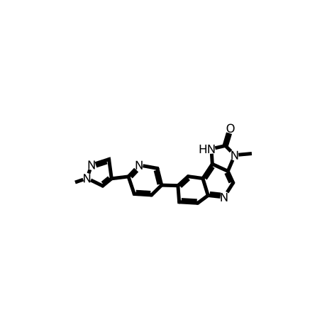 Cn1cc(-c2ccc(-c3ccc4ncc5c([nH]c(=O)n5C)c4c3)cn2)cn1